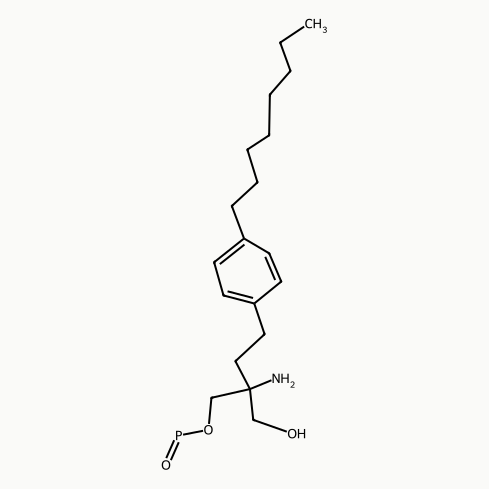 CCCCCCCCc1ccc(CCC(N)(CO)COP=O)cc1